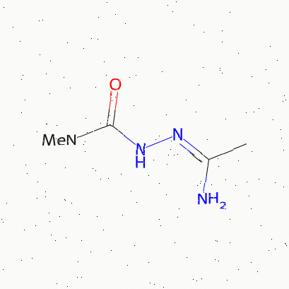 CNC(=O)NN=C(C)N